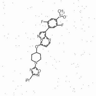 CC(C)c1noc(N2CCC(Oc3ccnc4c(-c5cc(F)c([S+](C)[O-])cc5F)cnn34)CC2)n1